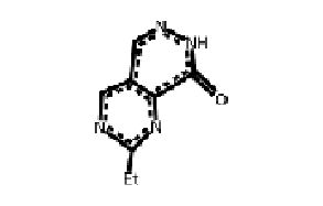 CCc1ncc2cn[nH]c(=O)c2n1